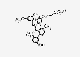 CCC(C)c1ccc(C)c(-c2ccc(C)cc2CN(Cc2cc(C)cc(C(F)(F)F)c2)c2ncc(OCCCC(=O)O)cn2)c1